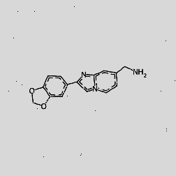 NCc1ccn2cc(-c3ccc4c(c3)OCO4)nc2c1